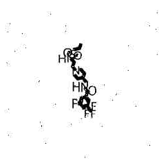 CCCS(=O)(=O)NCCN1CCC(CNC(=O)c2cc(F)cc(C(F)(F)F)c2)CC1